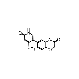 Cc1cc(=O)[nH]cc1-c1ccc2c(c1)NC(=O)CO2